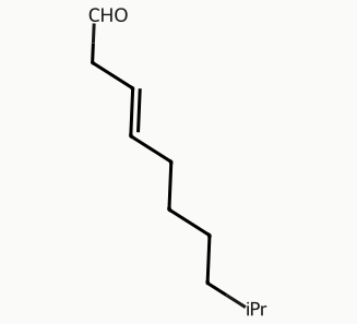 CC(C)CCCC/C=C/CC=O